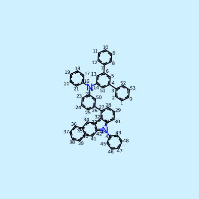 c1ccc(-c2cc(-c3ccccc3)cc(N(c3ccccc3)c3cccc(-c4cccc5c4c4cc6ccccc6cc4n5-c4ccccc4)c3)c2)cc1